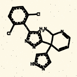 NC1N=CC=CC1(c1cn[nH]c1)c1nnc(-c2c(Cl)cccc2Cl)o1